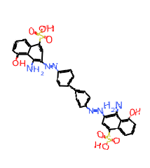 Nc1c(/N=N/c2ccc(-c3ccc(/N=N/c4cc(S(=O)(=O)O)c5cccc(O)c5c4N)cc3)cc2)cc(S(=O)(=O)O)c2cccc(O)c12